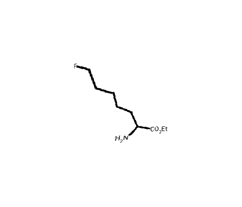 CCOC(=O)C(N)CCCCCF